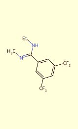 CCN/C(=N\C)c1cc(C(F)(F)F)cc(C(F)(F)F)c1